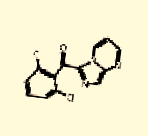 O=C(c1c(Cl)cccc1Cl)c1ncc2ncccn12